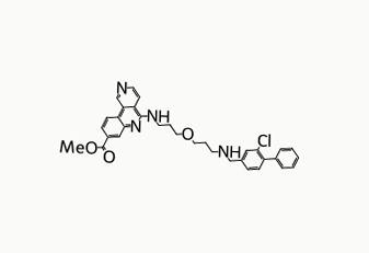 COC(=O)c1ccc2c(c1)nc(NCCCOCCCNCc1ccc(-c3ccccc3)c(Cl)c1)c1ccncc12